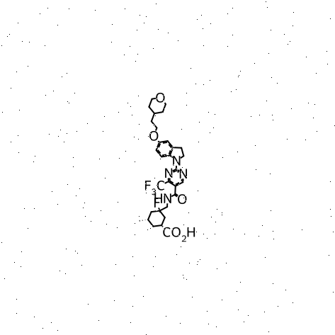 C[C@H]1C[C@@H](C(=O)O)C[C@@](F)(CNC(=O)c2cnc(N3CCc4cc(OCCC5CCOCC5)ccc43)nc2C(F)(F)F)C1